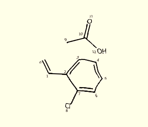 C=Cc1ccccc1Cl.CC(=O)O